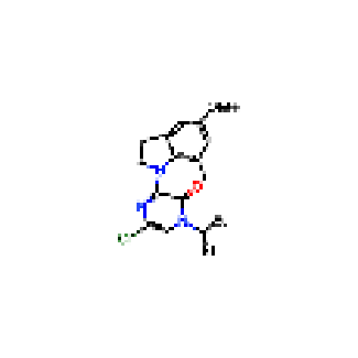 CCC(CC)n1cc(Cl)nc(N2CCc3cc(OC)cc(C)c32)c1=O